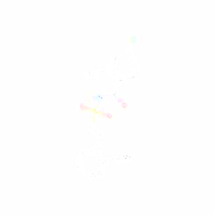 COc1ccccc1C=CS(=O)(=O)NC(=O)c1ccc(Cl)cc1C